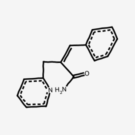 NC(=O)/C(=C\c1ccccc1)Cc1ccccn1